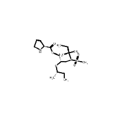 CC[C@H](C)O[C@H](COC(=O)[C@@H]1CCCN1)CN(C(C)(C)CC)S(C)(=O)=O